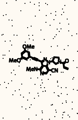 C=CC(=O)N1CCC(n2nc(C#Cc3cc(OC)cc(OC)c3)c3c(NC)ncc(C#N)c32)C1